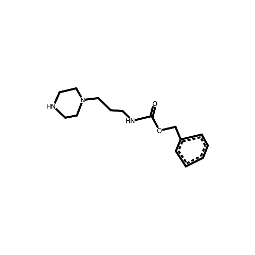 O=C(NCCCN1CCNCC1)OCc1ccccc1